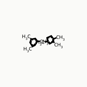 Cc1cc(C)cc(C)c1.Cc1ccc(C)c(C)c1